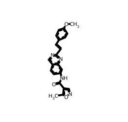 COc1ccc(/C=C/c2ncc3ccc(NC(=O)c4cnoc4C)cc3n2)cc1